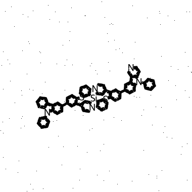 c1ccc(-n2c3ccccc3c3cc(-c4ccc5sc6c([Si](c7ccccc7)(c7ccccc7)c7nccc8c7sc7ccc(-c9ccc%10c(c9)c9cnccc9n%10-c9ccccc9)cc78)nccc6c5c4)ccc32)cc1